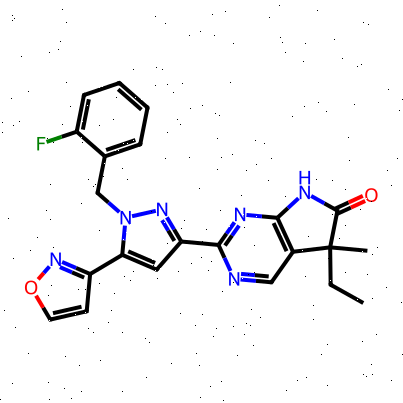 CCC1(C)C(=O)Nc2nc(-c3cc(-c4ccon4)n(Cc4ccccc4F)n3)ncc21